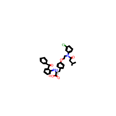 CC(C)CC(=O)N(CCOc1ccc(C[C@H](Nc2ccccc2C(=O)c2ccccc2)C(=O)O)cc1)c1cccc(Cl)c1